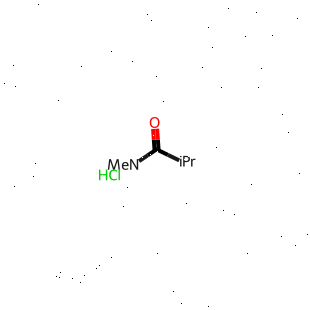 CNC(=O)C(C)C.Cl